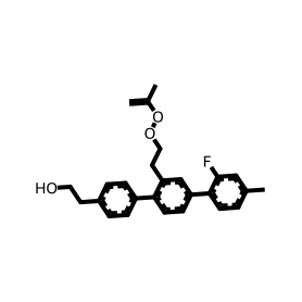 C=C(C)OOCCc1cc(-c2ccc(C)cc2F)ccc1-c1ccc(CCO)cc1